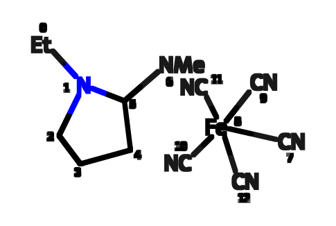 CCN1CCCC1NC.N#[C][Fe]([C]#N)([C]#N)([C]#N)[C]#N